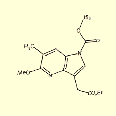 CCOC(=O)Cc1cn(C(=O)OC(C)(C)C)c2cc(C)c(OC)nc12